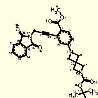 COC(=O)c1ccc(N2CC3(CN(C(=O)OC(C)(C)C)C3)C2)cc1C#CCN1C(=O)c2ccccc2C1=O